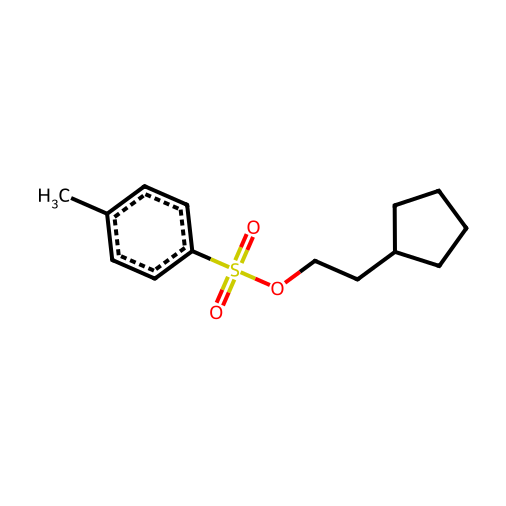 Cc1ccc(S(=O)(=O)OCCC2CCCC2)cc1